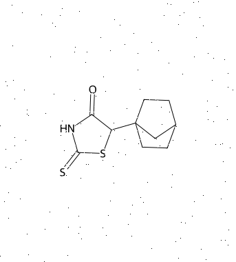 O=C1NC(=S)SC1C12CCC(CC1)C2